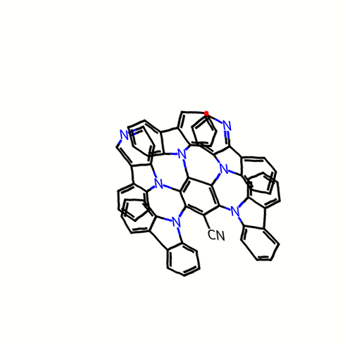 N#Cc1c(-n2c3ccccc3c3ccccc32)c(-n2c3ccccc3c3cnccc32)c(-n2c3ccccc3c3ccccc32)c(-n2c3ccccc3c3ncccc32)c1-n1c2ccccc2c2ccccc21